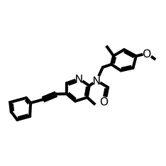 COc1ccc(CN(C=O)c2ncc(C#Cc3ccccc3)cc2C)c(C)c1